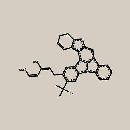 CCC(C)(C)c1cc2c(cc1C/C=C(\C=C/NC)C(C)(C)C)c1c3c4c(oc3cc3c5ccccc5n2c31)CCC=C4